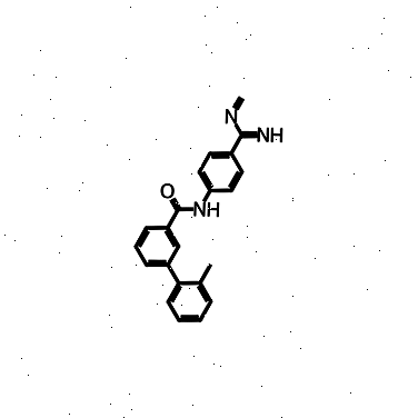 C=NC(=N)c1ccc(NC(=O)c2cccc(-c3ccccc3C)c2)cc1